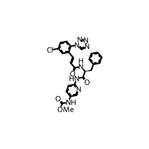 COC(=O)Nc1ccc(NC(=O)[C@H](Cc2ccccc2)NC(=O)/C=C/c2cc(Cl)ccc2-n2cnnn2)nc1